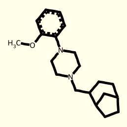 COc1ccccc1N1CCN(CC2CCC3CCC2C3)CC1